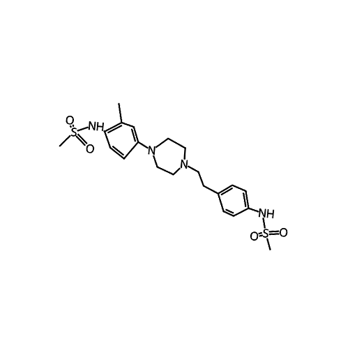 Cc1cc(N2CCN(CCc3ccc(NS(C)(=O)=O)cc3)CC2)ccc1NS(C)(=O)=O